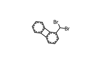 BrC(Br)c1cccc2c1-c1ccccc1-2